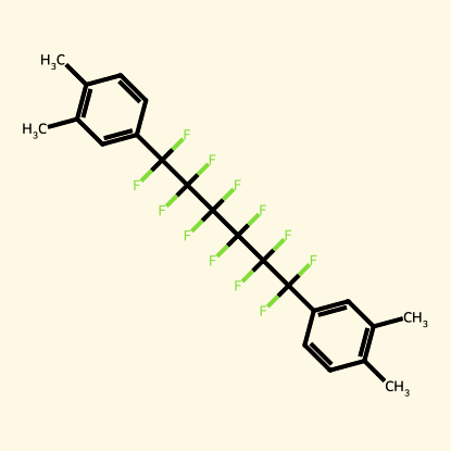 Cc1ccc(C(F)(F)C(F)(F)C(F)(F)C(F)(F)C(F)(F)C(F)(F)c2ccc(C)c(C)c2)cc1C